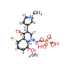 CCCOc1ccc(F)c2c(=O)c(-c3ccn(C)c3)cn(COP(=O)(O)O)c12